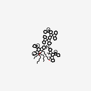 CCCCCCCC1(CCCCCCC)c2cc(N(c3ccc4c(c3)C(C)(C)c3c5c(c6c(oc7ccccc76)c3-4)-c3ccccc3C5(C)C)c3ccc4c(c3)C3(c5ccccc5-c5ccccc53)c3cc5c(cc3-4)C3(c4ccccc4-c4ccccc43)c3ccc4oc6ccccc6c4c3-5)ccc2-c2c1c1c(c3c2oc2ccccc23)-c2ccccc2C1(CCCCCCC)CCCCCCC